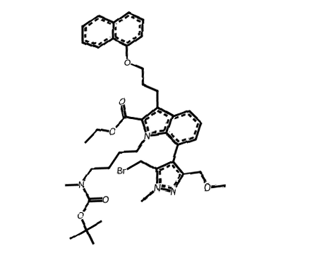 CCOC(=O)c1c(CCCOc2cccc3ccccc23)c2cccc(-c3c(COC)nn(C)c3CBr)c2n1CCCCN(C)C(=O)OC(C)(C)C